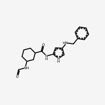 O=CNC1CCCC(C(=O)Nc2cc(NCc3ccccc3)c[nH]2)C1